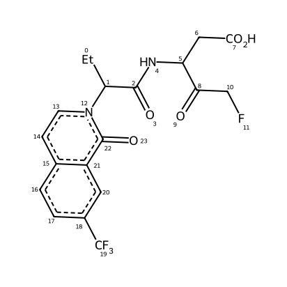 CCC(C(=O)NC(CC(=O)O)C(=O)CF)n1ccc2ccc(C(F)(F)F)cc2c1=O